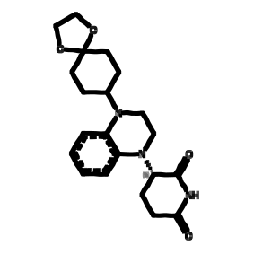 O=C1CC[C@H](N2CCN(C3CCC4(CC3)OCCO4)c3ccccc32)C(=O)N1